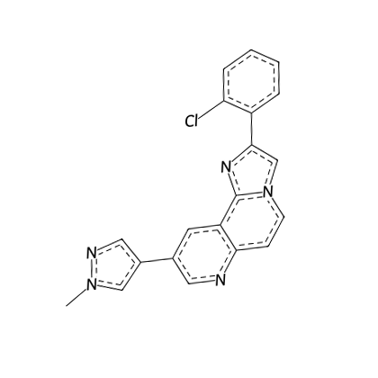 Cn1cc(-c2cnc3ccn4cc(-c5ccccc5Cl)nc4c3c2)cn1